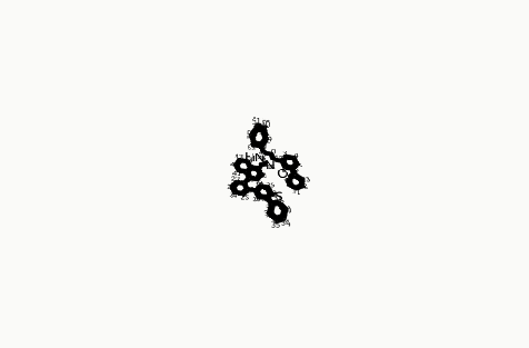 C1=C(c2cccc3c2oc2ccccc23)N=C(c2ccc(-c3ccccc3-c3ccc4sc5ccccc5c4c3)c3ccccc23)NC1c1ccccc1